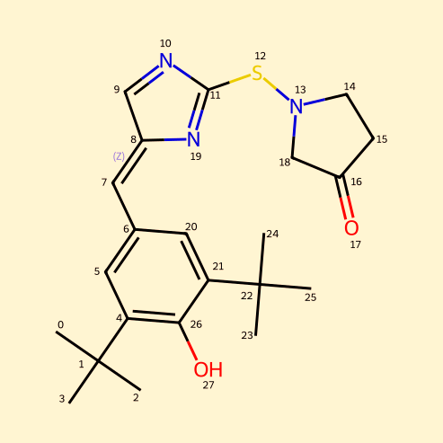 CC(C)(C)c1cc(/C=C2/C=NC(SN3CCC(=O)C3)=N2)cc(C(C)(C)C)c1O